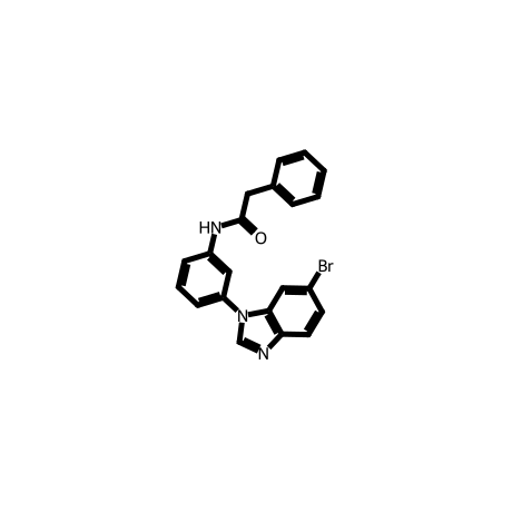 O=C(Cc1ccccc1)Nc1cccc(-n2cnc3ccc(Br)cc32)c1